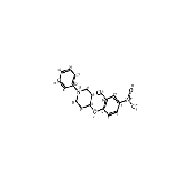 O=[N+]([O-])c1ccc(OC2CCN(c3cccnc3)CC2)c(Cl)c1